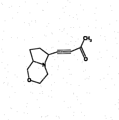 CC(=O)C#CC1CCC2COCCN12